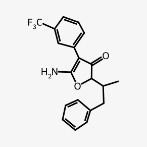 CC(Cc1ccccc1)C1OC(N)=C(c2cccc(C(F)(F)F)c2)C1=O